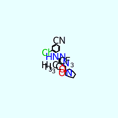 Cc1c(Nc2ccc(C#N)cc2Cl)ncnc1OC1CC2CCC(C1)N2C(=O)CC(C)C(F)(F)F